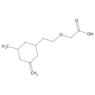 C=C1CC(C)CC(CCOCC(=O)O)C1